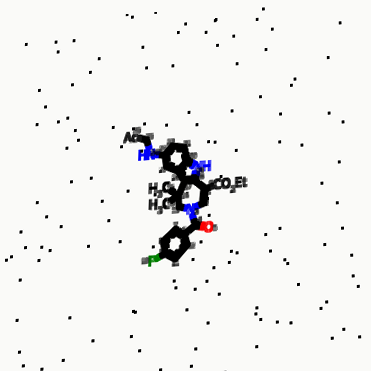 CCOC(=O)C1=CN(C(=O)c2ccc(F)cc2)CC(C)(C)c2c1[nH]c1ccc(NCC(C)=O)cc21